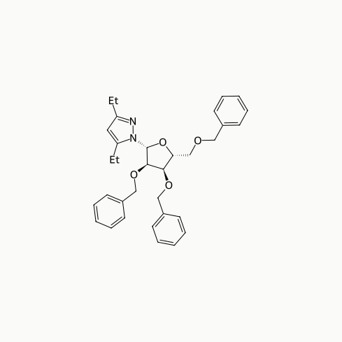 CCc1cc(CC)n([C@@H]2O[C@H](COCc3ccccc3)[C@@H](OCc3ccccc3)[C@H]2OCc2ccccc2)n1